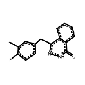 Cc1cc(Cc2n[nH]c(=O)c3ccccc23)ccc1F